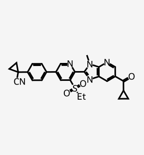 CCS(=O)(=O)c1cc(-c2ccc(C3(C#N)CC3)cc2)cnc1-c1nc2cc(C(=O)C3CC3)cnc2n1C